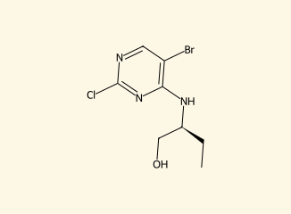 CC[C@@H](CO)Nc1nc(Cl)ncc1Br